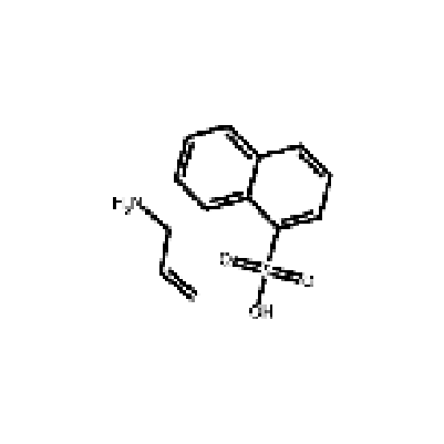 C=CCN.O=S(=O)(O)c1cccc2ccccc12